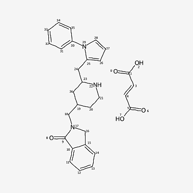 O=C(O)/C=C/C(=O)O.O=C1c2ccccc2CN1CC1CCNC(Cc2cccn2-c2ccccc2)C1